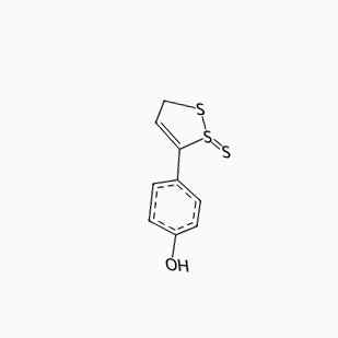 Oc1ccc(C2=CCSS2=S)cc1